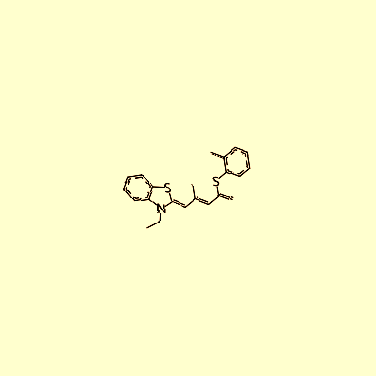 C=C(/C=C(C)/C=C1\Sc2ccccc2N1CC)Sc1ccccc1C